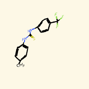 Cc1ccc(NC(=S)Nc2ccc(C(F)(F)F)cc2)cc1